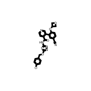 N#Cc1ccc(OC2COC2)c(-c2cnccc2C(=O)Nc2nnc(OCc3ccc(Cl)cc3)s2)c1